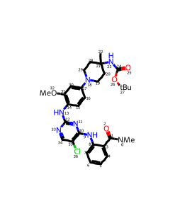 CNC(=O)c1ccccc1Nc1nc(Nc2ccc(N3CCC(C)(NC(=O)OC(C)(C)C)CC3)cc2OC)ncc1Cl